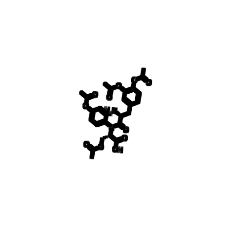 CC(=O)OC[C@@H](C(=O)O)N(C(=O)[C@@H](N)Cc1ccc(OC(C)=O)c(OC(C)=O)c1)c1ccc(OC(C)=O)cc1